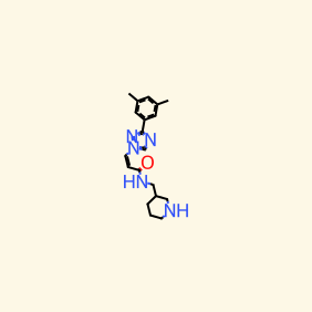 Cc1cc(C)cc(-c2ncn(/C=C\C(=O)NCC3CCCNC3)n2)c1